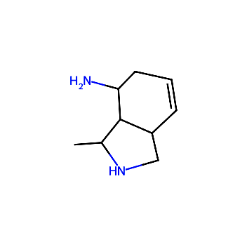 CC1NCC2C=CCC(N)C21